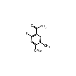 COc1cc(F)c(C(N)=O)cc1C